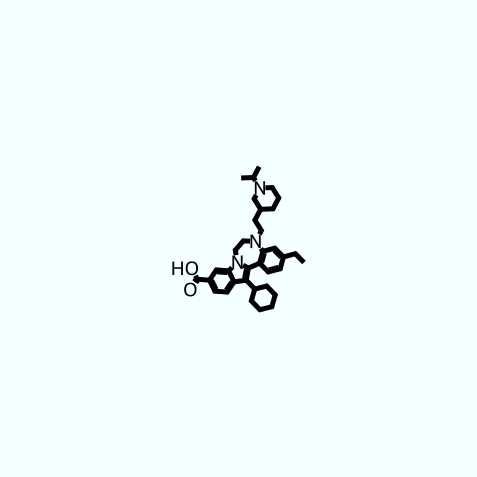 CCc1ccc2c(c1)N(CCC1CCCN(C(C)C)C1)CCn1c-2c(C2CCCCC2)c2ccc(C(=O)O)cc21